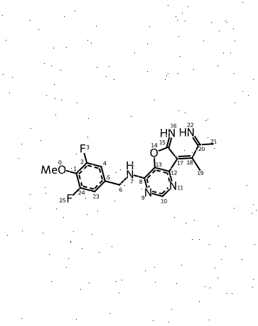 COc1c(F)cc(CNc2ncnc3c2OC(=N)/C3=C(/C)C(C)=N)cc1F